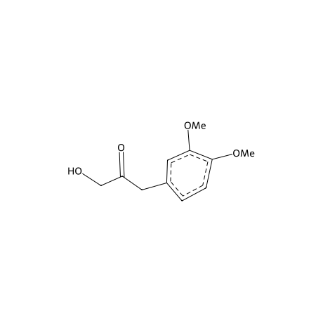 COc1ccc(CC(=O)CO)cc1OC